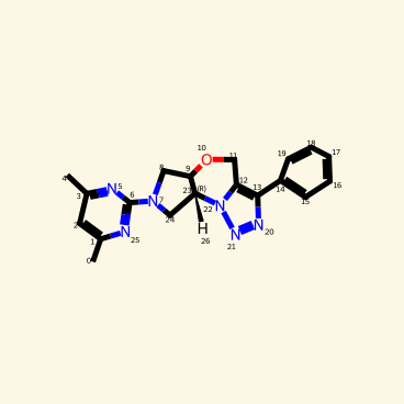 Cc1cc(C)nc(N2CC3OCc4c(-c5ccccc5)nnn4[C@@H]3C2)n1